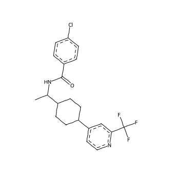 CC(NC(=O)c1ccc(Cl)cc1)C1CCC(c2ccnc(C(F)(F)F)c2)CC1